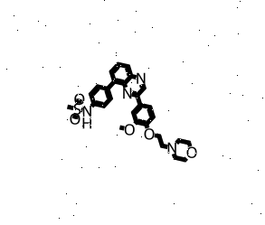 COc1cc(-c2cnc3cccc(-c4ccc(NS(C)(=O)=O)cc4)c3n2)ccc1OCCN1CCOCC1